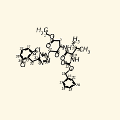 CCOC(=O)CC(NC(=O)[C@@H](NC(=O)OCc1ccccc1)C(C)C)C(=O)Cn1nnc(Cc2c(Cl)cccc2Cl)n1